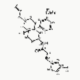 C=CCN1CC[C@@]2(c3cccc(OC)c3)C[C@@H](NC(=O)/C=C/c3cc(Br)cs3)CC[C@@H]2C1